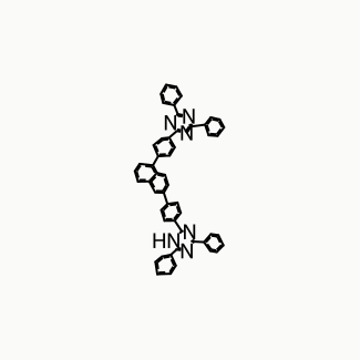 c1ccc(C2=NC(c3ccc(-c4ccc5c(-c6ccc(-c7nc(-c8ccccc8)nc(-c8ccccc8)n7)cc6)cccc5c4)cc3)NC(c3ccccc3)=N2)cc1